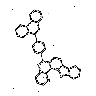 c1ccc2c(c1)cc(-c1ccc(-c3nc4cccnc4c4c3ccc3c5ccccc5oc34)cc1)c1ccccc12